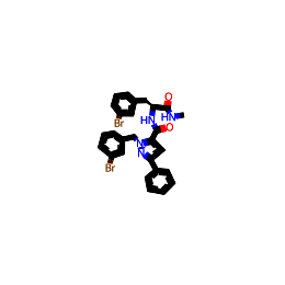 CNC(=O)[C@H](Cc1cccc(Br)c1)NC(=O)c1cc(-c2ccccc2)nn1Cc1cccc(Br)c1